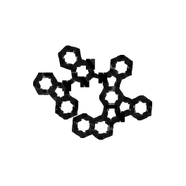 c1ccc2c(c1)ccc1c2c2cc3c(c4ccccc4n3-c3nc(-n4c5ccccc5c5ccccc54)c4ccccc4n3)c3c4ccccc4n1c23